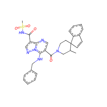 CC1CN(C(=O)c2cnc3c(C(=O)NS(C)(=O)=O)cnn3c2NCc2ccccc2)CCC12C=Cc1ccccc12